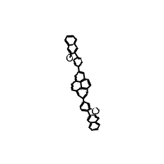 c1ccc2cc3c(cc2c1)oc1cc(-c2cc4ccc5cc(-c6ccc7c(c6)oc6cc8ccccc8cc67)cc6ccc(c2)c4c56)ccc13